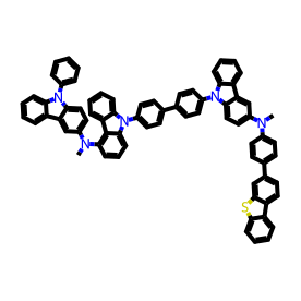 CN(c1ccc(-c2ccc3c(c2)sc2ccccc23)cc1)c1ccc2c(c1)c1ccccc1n2-c1ccc(-c2ccc(-n3c4ccccc4c4c(N(C)c5ccc6c(c5)c5ccccc5n6-c5ccccc5)cccc43)cc2)cc1